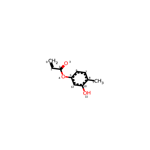 C=CC(=O)Oc1ccc(C)c(O)c1